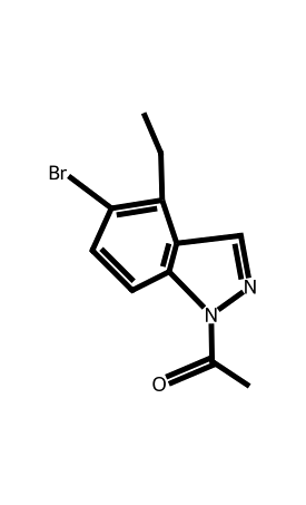 CCc1c(Br)ccc2c1cnn2C(C)=O